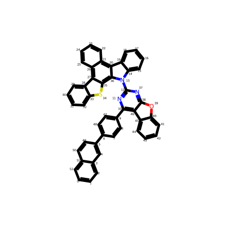 c1ccc2cc(-c3ccc(-c4nc(-n5c6ccccc6c6c7ccccc7c7c8ccccc8sc7c65)nc5oc6ccccc6c45)cc3)ccc2c1